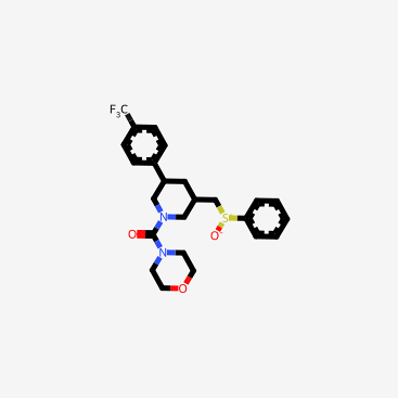 O=C(N1CCOCC1)N1CC(C[S+]([O-])c2ccccc2)CC(c2ccc(C(F)(F)F)cc2)C1